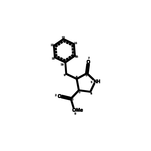 COC(=O)C1CNC(=O)C1Cc1ccccc1